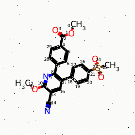 COC(=O)c1ccc(-c2nc(OC)c(C#N)cc2-c2ccc(S(C)(=O)=O)cc2)cc1